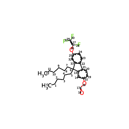 CCCCCCC1(CCCCCC)c2cc(OC=O)ccc2-c2ccc(OC(F)=C(F)F)cc21